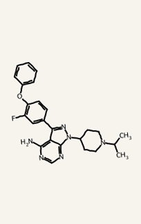 CC(C)N1CCC(n2nc(-c3ccc(Oc4ccccc4)c(F)c3)c3c(N)ncnc32)CC1